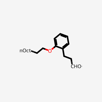 CCCCCCCCCCOc1ccccc1CC[C]=O